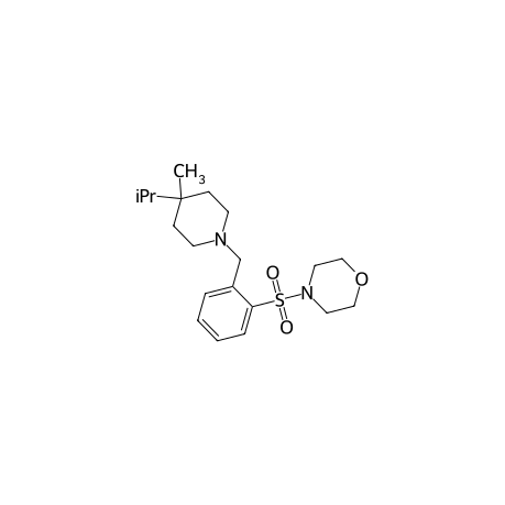 CC(C)C1(C)CCN(Cc2ccccc2S(=O)(=O)N2CCOCC2)CC1